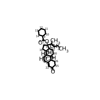 CCCC(C)[C@]1(OC(=O)C2CCCCC2)CC[C@H]2[C@@H]3CCC4=CC(=O)CC[C@]4(C)[C@H]3CC[C@@]21C